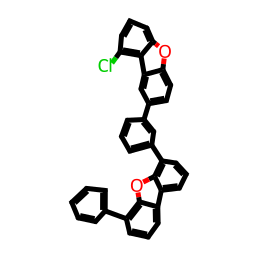 Clc1cccc2oc3ccc(-c4cccc(-c5cccc6c5oc5c(-c7ccccc7)cccc56)c4)cc3c12